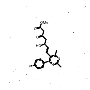 COC(=O)CC(=O)CC(O)/C=C/c1c(C)nc(C)nc1-c1ccc(F)cc1